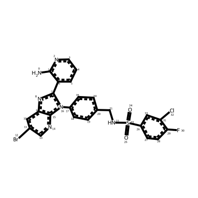 Nc1ncccc1-c1nc2cc(Br)cnc2n1-c1ccc(CNS(=O)(=O)c2ccc(F)c(Cl)c2)cc1